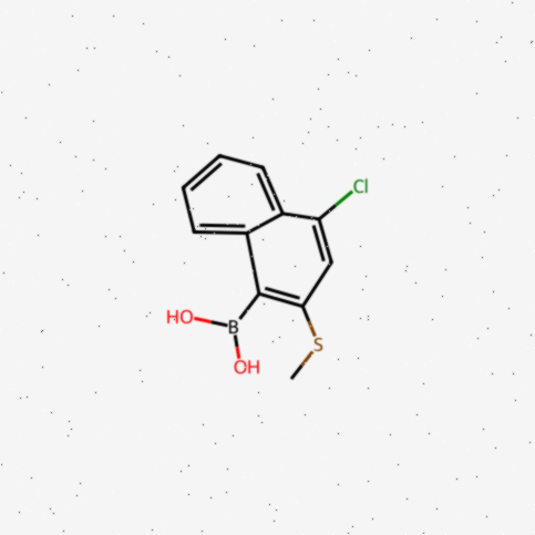 CSc1cc(Cl)c2ccccc2c1B(O)O